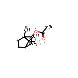 CCCCC(=O)OC1CC2CCC1(C)C2(C)C